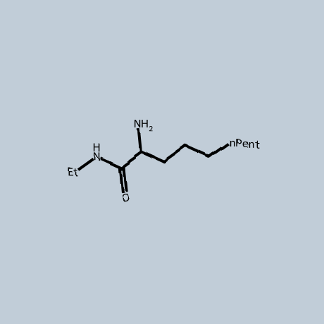 CCCCCCCCC(N)C(=O)NCC